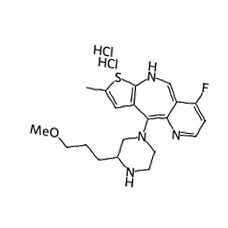 COCCCC1CN(C2=c3nccc(F)c3=CNc3sc(C)cc32)CCN1.Cl.Cl